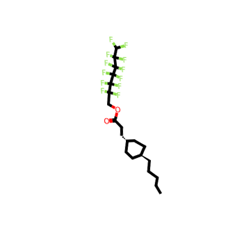 CCCCC[C@H]1CC[C@H](CCC(=O)OCC(F)(F)C(F)(F)C(F)(F)C(F)(F)C(F)(F)C(F)F)CC1